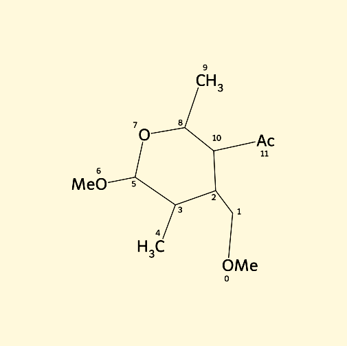 COCC1C(C)C(OC)OC(C)C1C(C)=O